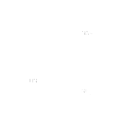 CNc1ccc(N)c(-c2cc[nH]c2)c1